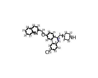 Clc1ccc(/C=C(/CN2CCNCC2)c2ccc(OCc3ccc4ccccc4n3)cc2)cc1